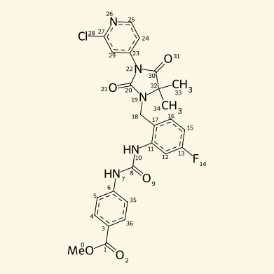 COC(=O)c1ccc(NC(=O)Nc2cc(F)ccc2CN2C(=O)N(c3ccnc(Cl)c3)C(=O)C2(C)C)cc1